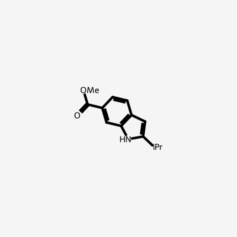 COC(=O)c1ccc2cc(C(C)C)[nH]c2c1